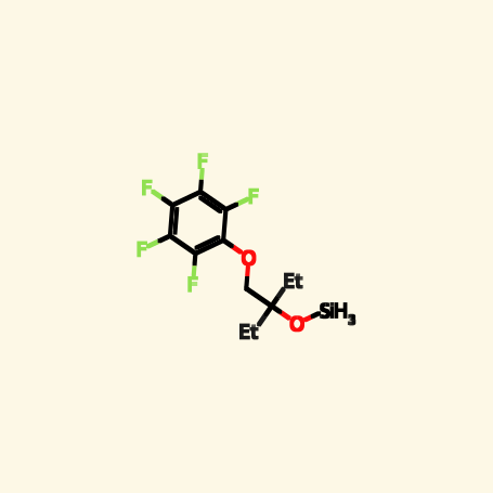 CCC(CC)(COc1c(F)c(F)c(F)c(F)c1F)O[SiH3]